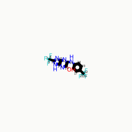 Oc1nc2[nH]c(C(F)(F)F)nc2nc1Nc1ccc(C(F)(F)F)cc1